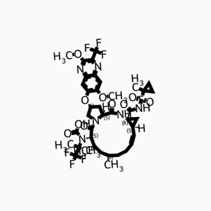 COc1cc2nc(C(F)(F)F)c(OC)nc2cc1O[C@@H]1C[C@H]2C(=O)N[C@]3(C(=O)NS(=O)(=O)C4(C)CC4)C[C@H]3C=CCC[C@H](C)C[C@@H](C)[C@H](N(C(=O)O)C(C)(C)C(F)(F)F)C(=O)N2C1